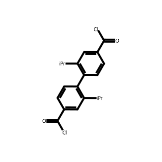 CC(C)c1cc(C(=O)Cl)ccc1-c1ccc(C(=O)Cl)cc1C(C)C